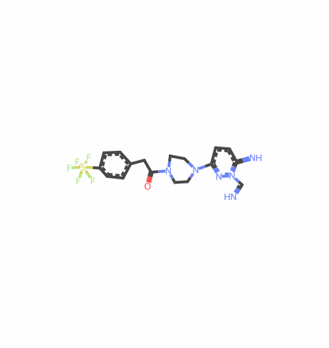 N=Cn1nc(N2CCN(C(=O)Cc3ccc(S(F)(F)(F)(F)F)cc3)CC2)ccc1=N